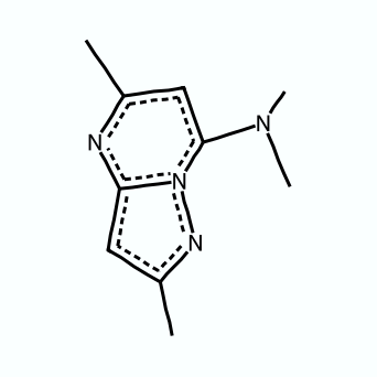 Cc1cc(N(C)C)n2nc(C)cc2n1